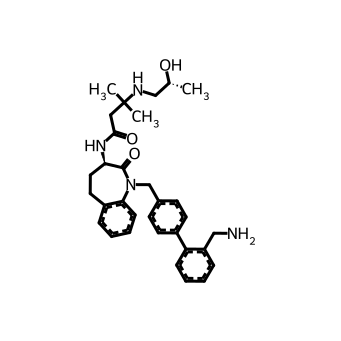 C[C@@H](O)CNC(C)(C)CC(=O)N[C@@H]1CCc2ccccc2N(Cc2ccc(-c3ccccc3CN)cc2)C1=O